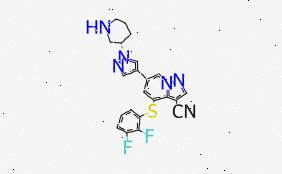 N#Cc1cnn2cc(-c3cnn([C@H]4CCCNC4)c3)cc(Sc3cccc(F)c3F)c12